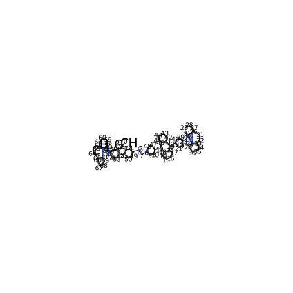 CC1(C)c2cc(/C=C/c3ccc(-c4c5ccccc5c(-c5ccc(N6C7=C(C=CCC7)CCc7ccccc76)cc5)c5ccccc45)cc3)ccc2-c2ccc(N3c4ccccc4CCc4ccccc43)cc21